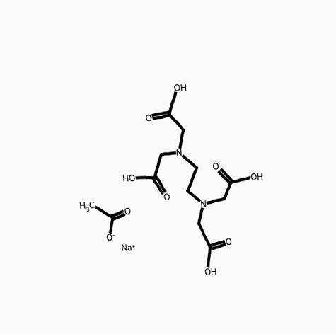 CC(=O)[O-].O=C(O)CN(CCN(CC(=O)O)CC(=O)O)CC(=O)O.[Na+]